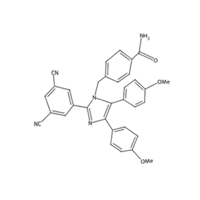 COc1ccc(-c2nc(-c3cc(C#N)cc(C#N)c3)n(Cc3ccc(C(N)=O)cc3)c2-c2ccc(OC)cc2)cc1